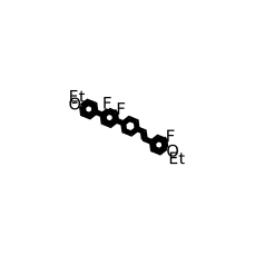 CCOc1ccc(-c2ccc(C3CCC(/C=C/c4ccc(OCC)c(F)c4)CC3)c(F)c2F)cc1